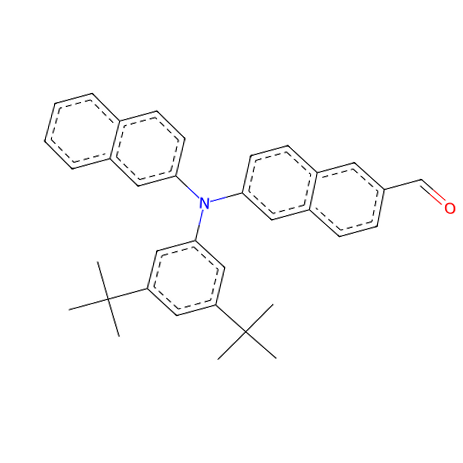 CC(C)(C)c1cc(N(c2ccc3ccccc3c2)c2ccc3cc(C=O)ccc3c2)cc(C(C)(C)C)c1